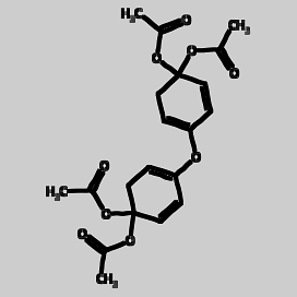 CC(=O)OC1(OC(C)=O)C=CC(OC2=CCC(OC(C)=O)(OC(C)=O)C=C2)=CC1